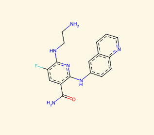 NCCNc1nc(Nc2ccc3ncccc3c2)c(C(N)=O)cc1F